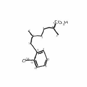 CC(CCC(C)C(=O)O)Cc1ccccc1Cl